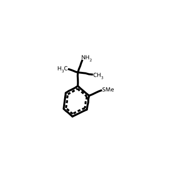 CSc1ccccc1C(C)(C)N